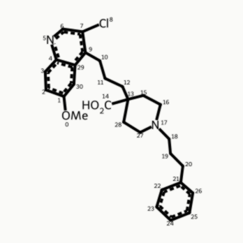 COc1ccc2ncc(Cl)c(CCCC3(C(=O)O)CCN(CCCc4ccccc4)CC3)c2c1